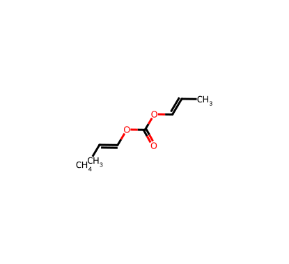 C.CC=COC(=O)OC=CC